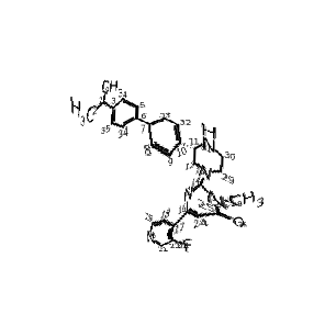 CC(C)c1ccc(-c2ccc([C@H]3CN(c4nc(-c5ccncc5F)cc(=O)n4C)CCN3)cc2)cc1